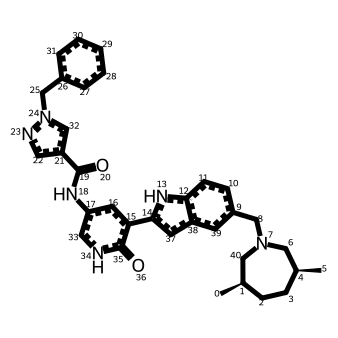 C[C@@H]1CC[C@H](C)CN(Cc2ccc3[nH]c(-c4cc(NC(=O)c5cnn(Cc6ccccc6)c5)c[nH]c4=O)cc3c2)C1